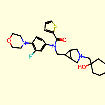 O=C(c1cccs1)N(CC1C2CN(CC3(O)CCCCC3)CC21)c1ccc(N2CCOCC2)c(F)c1